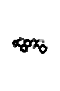 Cc1ccsc1-c1ccnc2cc(OC(C)C(=O)N3CCCCC3)ccc12